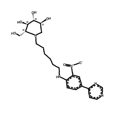 O=[N+]([O-])c1cc(-c2ccncn2)ccc1NCCCCCCN1C[C@H](O)[C@@H](O)[C@H](O)[C@H]1CO